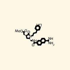 COC(=O)C[C@@H]1C[C@@H](CNC(=O)c2ccc3cc(C(=N)N)ccc3c2)N(CCCc2ccccc2)C1=O.Cl